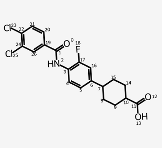 O=C(Nc1ccc(C2CCC(C(=O)O)CC2)cc1F)c1ccc(Cl)c(Cl)c1